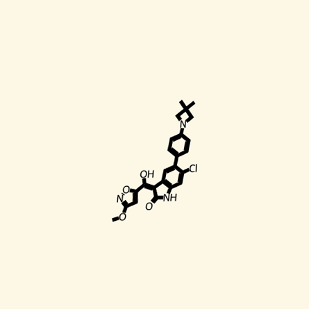 COc1cc(/C(O)=C2\C(=O)Nc3cc(Cl)c(-c4ccc(N5CC(C)(C)C5)cc4)cc32)on1